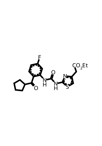 CCOC(=O)Cc1csc(NC(=O)Nc2cc(F)ccc2C(=O)C2CCCC2)n1